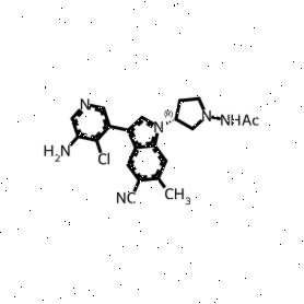 CC(=O)NN1CC[C@@H](n2cc(-c3cncc(N)c3Cl)c3cc(C#N)c(C)cc32)C1